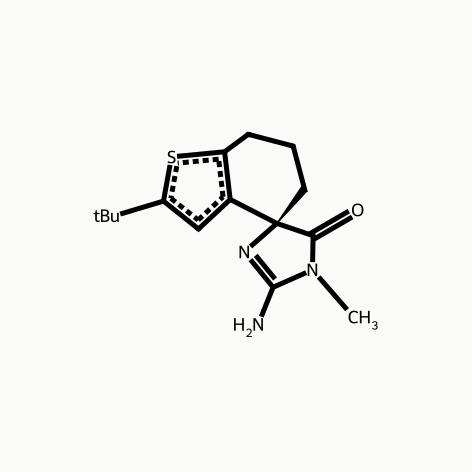 CN1C(=O)[C@]2(CCCc3sc(C(C)(C)C)cc32)N=C1N